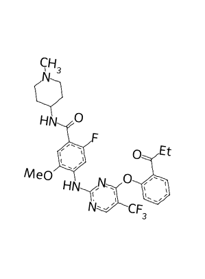 CCC(=O)c1ccccc1Oc1nc(Nc2cc(F)c(C(=O)NC3CCN(C)CC3)cc2OC)ncc1C(F)(F)F